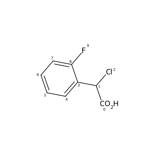 O=C(O)C(Cl)c1ccccc1F